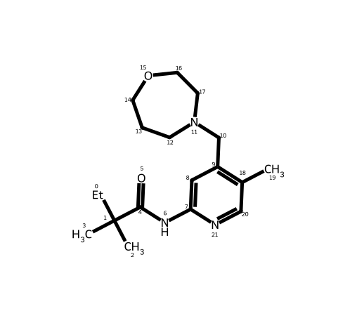 CCC(C)(C)C(=O)Nc1cc(CN2CCCOCC2)c(C)cn1